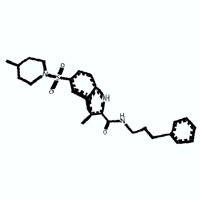 Cc1c(C(=O)NCCCc2ccccc2)[nH]c2ccc(S(=O)(=O)N3CCC(C)CC3)cc12